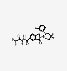 O=C(NNC(=O)C(F)F)c1ccc2c(c1)C(=O)N(N1CCC(F)(F)C[C@H]1c1cccc(F)c1)C2